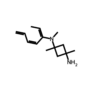 C=C/C=C\C(=C/C)N(C)C1(C)CC(C)(N)C1